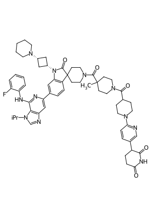 CC(C)n1cnc2cc(-c3ccc4c(c3)N([C@H]3C[C@@H](N5CCCCC5)C3)C(=O)C43CCN(C(=O)C4(C)CCN(C(=O)C5CCN(c6ccc(C7CCC(=O)NC7=O)cn6)CC5)CC4)CC3)nc(Nc3ccccc3F)c21